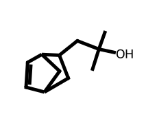 CC(C)(O)CC1CC2C=CC1C2